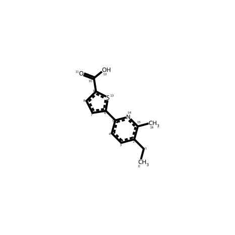 CCc1ccc(-c2ccc(C(=O)O)s2)nc1C